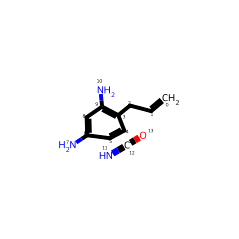 C=CCc1ccc(N)cc1N.N=C=O